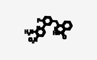 Nc1nc(-c2cc(Cc3n[nH]c(=O)c4ccccc34)ccc2F)ccc1[N+](=O)[O-]